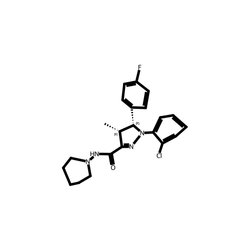 C[C@H]1C(C(=O)NN2CCCCC2)=NN(c2ccccc2Cl)[C@H]1c1ccc(F)cc1